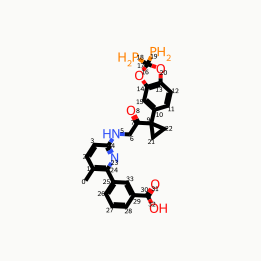 Cc1ccc(NCC(=O)C2(c3ccc4c(c3)OC(P)(P)O4)CC2)nc1-c1cccc(C(=O)O)c1